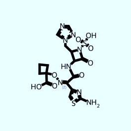 Nc1nc(/C(=N/OC2(C(=O)O)CCC2)C(=O)NC2C(=O)N(S(=O)(=O)O)C2Cn2cncn2)cs1